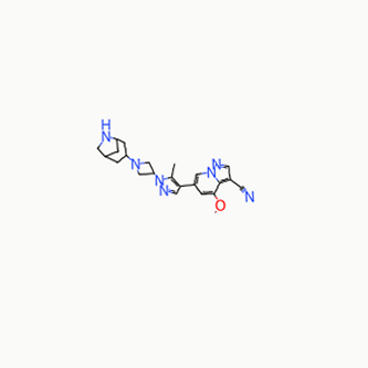 COc1cc(-c2cnn(C3CN(C4CC5CNC(C5)C4)C3)c2C)cn2ncc(C#N)c12